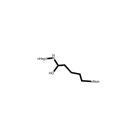 CCCCCCCCCCCCCC(O)NCCCCCCC